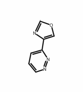 [c]1nc(-c2cccnn2)co1